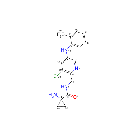 NC1(C(=O)NCc2ncc(Nc3ccccc3C(F)(F)F)cc2Cl)CC1